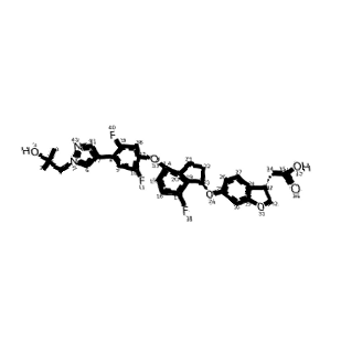 CC(C)(O)Cn1cc(-c2cc(F)c(Oc3ccc(F)c4c3CC[C@H]4Oc3ccc4c(c3)OC[C@H]4CC(=O)O)cc2F)cn1